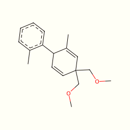 COCC1(COC)C=CC(c2ccccc2C)C(C)=C1